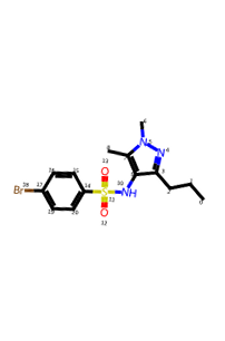 CCCc1nn(C)c(C)c1NS(=O)(=O)c1ccc(Br)cc1